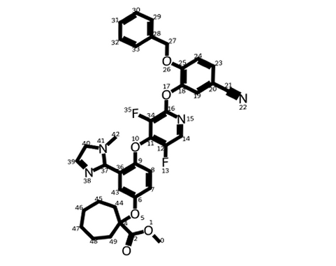 COC(=O)C1(Oc2ccc(Oc3c(F)cnc(Oc4cc(C#N)ccc4OCc4ccccc4)c3F)c(C3N=CCN3C)c2)CCCCCC1